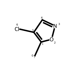 [CH2]c1oncc1Cl